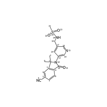 CC1(C)c2cc(C#N)ccc2C(=O)N1c1cncc(CNS(C)(=O)=O)c1